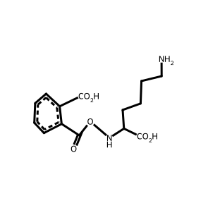 NCCCCC(NOC(=O)c1ccccc1C(=O)O)C(=O)O